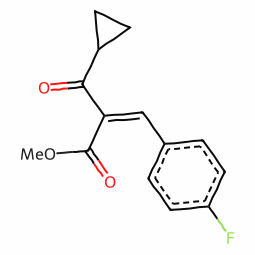 COC(=O)/C(=C\c1ccc(F)cc1)C(=O)C1CC1